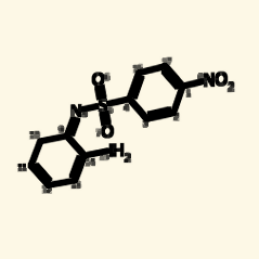 O=[N+]([O-])c1ccc(S(=O)(=O)N=C2CC=CC=C2[IH2])cc1